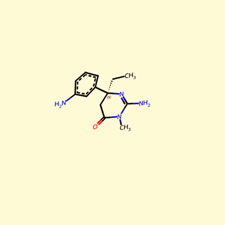 CC[C@@]1(c2cccc(N)c2)CC(=O)N(C)C(N)=N1